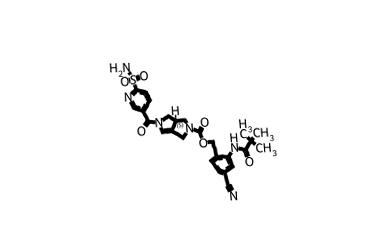 CC(C)(C)C(=O)Nc1cc(C#N)ccc1COC(=O)N1CC2=CN(C(=O)c3ccc(S(N)(=O)=O)nc3)C[C@H]2C1